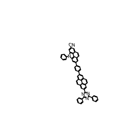 N#Cc1cc2ccc3cc(-c4ccc(-c5cc6ccc7cc(-c8nc(-c9ccccc9)nc(-c9ccccc9)n8)cc8ccc(c5)c6c78)cc4)cc4c3c2c(c1)n4-c1ccccc1